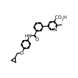 Cc1ncc(-c2cccc(C(=O)Nc3ccc(OCC4CC4)cc3)c2)cc1C(=O)O